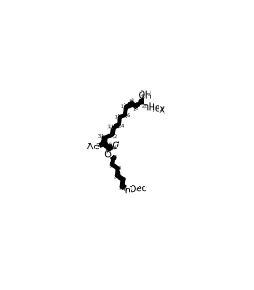 CCCCCCCCCCCCCCCCOC(=O)C(CCCCCC/C=C\C[C@H](O)CCCCCC)C(C)=O